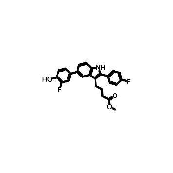 COC(=O)CCCc1c(-c2ccc(F)cc2)[nH]c2ccc(-c3ccc(O)c(F)c3)cc12